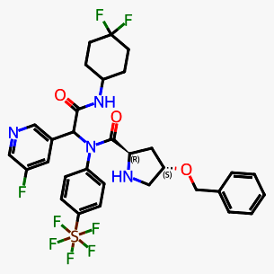 O=C(NC1CCC(F)(F)CC1)C(c1cncc(F)c1)N(C(=O)[C@H]1C[C@H](OCc2ccccc2)CN1)c1ccc(S(F)(F)(F)(F)F)cc1